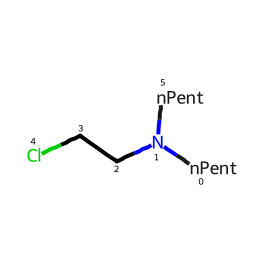 CCCCCN(CCCl)CCCCC